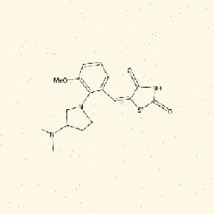 COc1cccc(/C=C2/SC(=O)NC2=O)c1N1CCC(N(C)C)C1